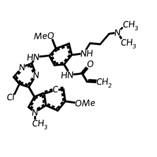 C=CC(=O)Nc1cc(Nc2ncc(Cl)c(-c3cn(C)c4cc(OC)ccc34)n2)c(OC)cc1NCCCN(C)C